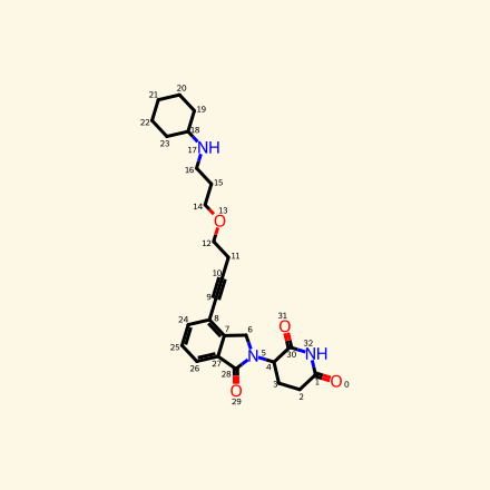 O=C1CCC(N2Cc3c(C#CCCOCCCNC4CCCCC4)cccc3C2=O)C(=O)N1